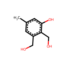 [CH2]c1cc(O)c(CO)c(CO)c1